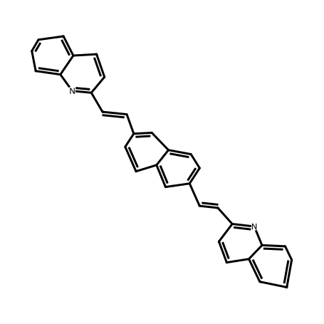 C(=C\c1ccc2ccccc2n1)/c1ccc2cc(/C=C/c3ccc4ccccc4n3)ccc2c1